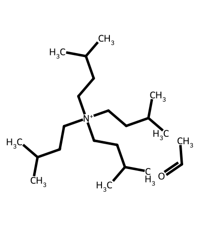 CC(C)CC[N+](CCC(C)C)(CCC(C)C)CCC(C)C.CC=O